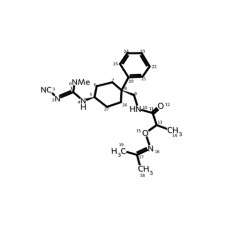 CN/C(=N\C#N)N[C@H]1CC[C@](CNC(=O)C(C)ON=C(C)C)(c2ccccc2)CC1